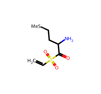 C=CS(=O)(=O)C(=O)C(N)CCSC